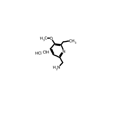 CCc1nc(CN)ccc1OC.Cl.Cl